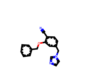 N#Cc1ccc(Cn2ccnc2)cc1OCc1ccccc1